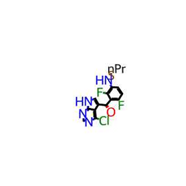 CCCSNc1ccc(F)c(C(=O)c2c[nH]c3ncnc(Cl)c23)c1F